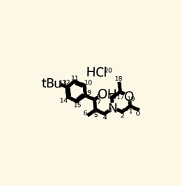 CC1CN(CC(C)C(O)c2ccc(C(C)(C)C)cc2)CC(C)O1.Cl